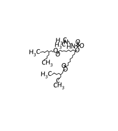 CCCCCC(CCCCC)CCOC(=O)CCCCCCCC(CCCCCCCC(=O)OCCC(CCCCC)CCCCC)Oc1c(NCCCN(C)C)c(=O)c1=O